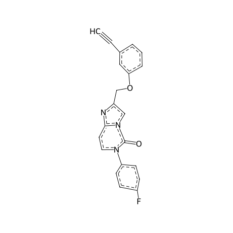 C#Cc1cccc(OCc2cn3c(=O)n(-c4ccc(F)cc4)ccc3n2)c1